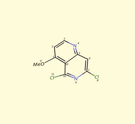 COc1ccnc2cc(Cl)nc(Cl)c12